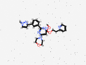 COC1(OCCc2ccccn2)C=C(N2CCOCC2)N=C(c2cccc(-c3ccn(C)n3)c2)N1